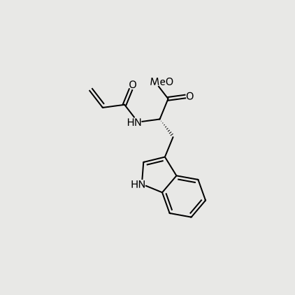 C=CC(=O)N[C@@H](Cc1c[nH]c2ccccc12)C(=O)OC